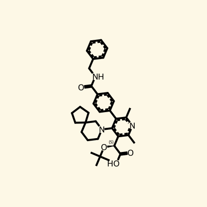 Cc1nc(C)c([C@H](OC(C)(C)C)C(=O)O)c(N2CCCC3(CCCC3)C2)c1-c1ccc(C(=O)NCc2ccccc2)cc1